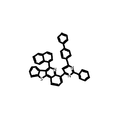 c1ccc(-c2ccc(-c3cc(-c4cccc5c4nc(-c4cccc6ccccc46)c4c6ccccc6sc54)nc(-c4ccccc4)n3)cc2)cc1